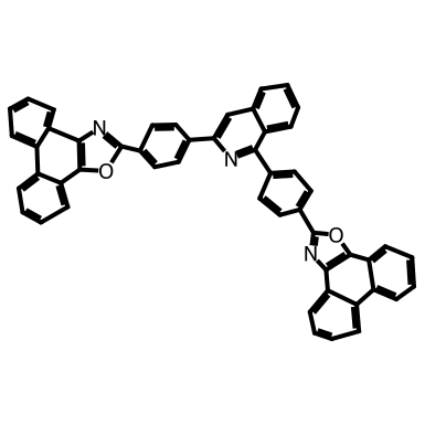 c1ccc2c(-c3ccc(-c4nc5c6ccccc6c6ccccc6c5o4)cc3)nc(-c3ccc(-c4nc5c6ccccc6c6ccccc6c5o4)cc3)cc2c1